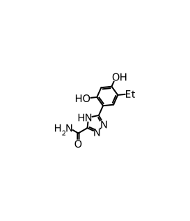 CCc1cc(-c2nnc(C(N)=O)[nH]2)c(O)cc1O